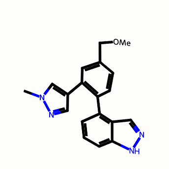 COCc1ccc(-c2cccc3[nH]ncc23)c(-c2cnn(C)c2)c1